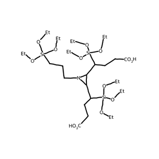 CCO[Si](CCCN1C(C(CCC(=O)O)[Si](OCC)(OCC)OCC)C1C(CCC(=O)O)[Si](OCC)(OCC)OCC)(OCC)OCC